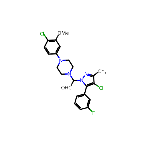 COc1cc(N2CCN(C(C=O)n3nc(C(F)(F)F)c(Cl)c3-c3cccc(F)c3)CC2)ccc1Cl